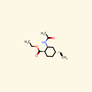 C=C[C@@H]1CC[C@@H](C(=O)OCC)[C@@H](NC(C)=O)C1